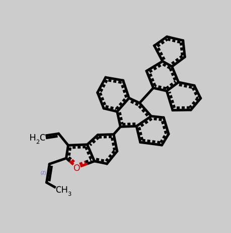 C=Cc1c(/C=C\C)oc2ccc(-c3c4ccccc4c(-c4cc5ccccc5c5ccccc45)c4ccccc34)cc12